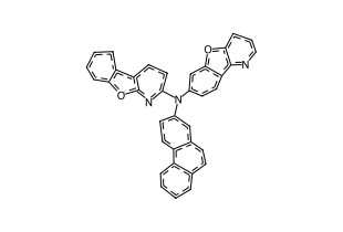 c1ccc2c(c1)ccc1cc(N(c3ccc4c(c3)oc3cccnc34)c3ccc4c(n3)oc3ccccc34)ccc12